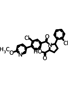 COc1ccc(-c2ccc(C(=O)N3C(C(=O)O)CCC3c3ccccc3Cl)cc2Cl)cn1